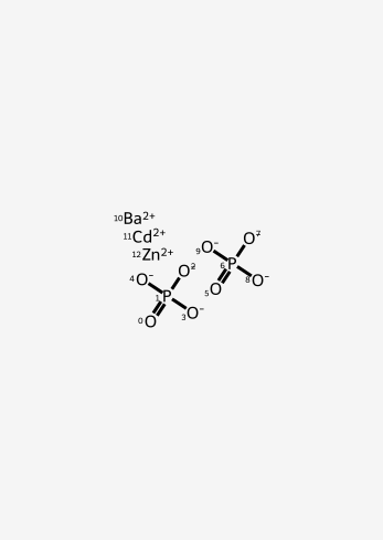 O=P([O-])([O-])[O-].O=P([O-])([O-])[O-].[Ba+2].[Cd+2].[Zn+2]